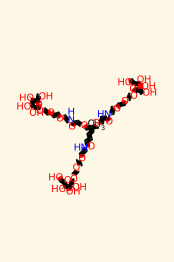 CC(CCCCC(=O)NCCOCCOCCO[C@H]1OC(CO)[C@@H](O)C(O)C1O)(COCCC(=O)NCCOCCOCCOC1=C(CO)C(O)[C@H](O)C(CO)O1)COCCC(=O)NCCOCCOCCO[C@H]1OC(CO)[C@@H](O)C(O)C1O